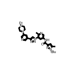 CCN1CCN(c2cncc(-c3cn(-c4cc(NC(=O)c5cc(C)n(C(C)(C)C)n5)cnc4C)nn3)c2)CC1